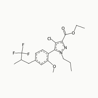 CCCn1nc(C(=O)OCC)c(Cl)c1-c1ccc(CC(C)C(F)(F)F)cc1OC